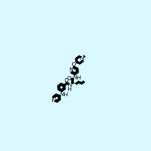 CCCC[C@H](NC(=O)c1cccc(Nc2ccncc2)c1)C(=O)Nc1ccc(OC2CCN(C)CC2)nc1